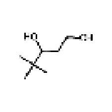 CC(C)(C)C(O)CCO